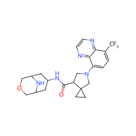 O=C(NC1CC2COCC(C1)N2)C1CN(c2ccc(C(F)(F)F)c3nccnc23)CC12CC2